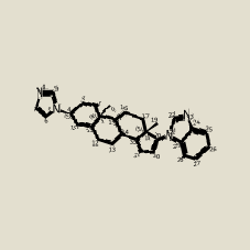 C[C@]12CC[C@H](n3ccnc3)C=C1CCC1C2CC[C@]2(C)C(n3cnc4ccccc43)=CCC12